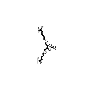 COC1OC(COCCCCC(F)(F)F)C(COCCCCC(F)(F)F)O1